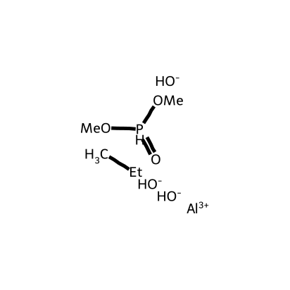 CCC.CO[PH](=O)OC.[Al+3].[OH-].[OH-].[OH-]